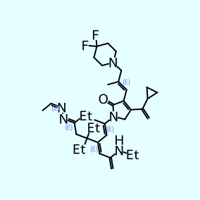 C=C(/C=C(\C=C(/C)N1CC(C(=C)C2CC2)=C(/C=C(\C)CN2CCC(F)(F)CC2)C1=O)C(CC)(CC)C/C(CC)=N/N=C\C)NCC